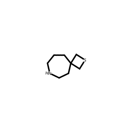 C1CNCCC2(C1)CSC2